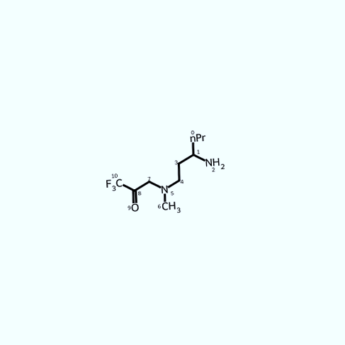 CCCC(N)CCN(C)CC(=O)C(F)(F)F